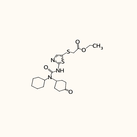 CCOC(=O)CSc1cnc(NC(=O)N(C2CCCCC2)C2CCC(=O)CC2)s1